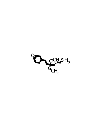 COC(CCC1CCC2OC2C1)(COC[SiH3])OC